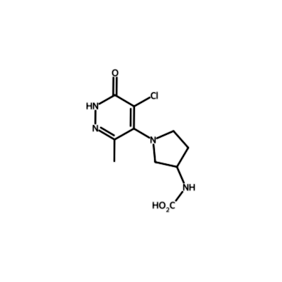 Cc1n[nH]c(=O)c(Cl)c1N1CCC(NC(=O)O)C1